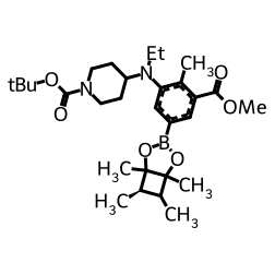 CCN(c1cc(B2OC3(C)C(C)[C@@H](C)C3(C)O2)cc(C(=O)OC)c1C)C1CCN(C(=O)OC(C)(C)C)CC1